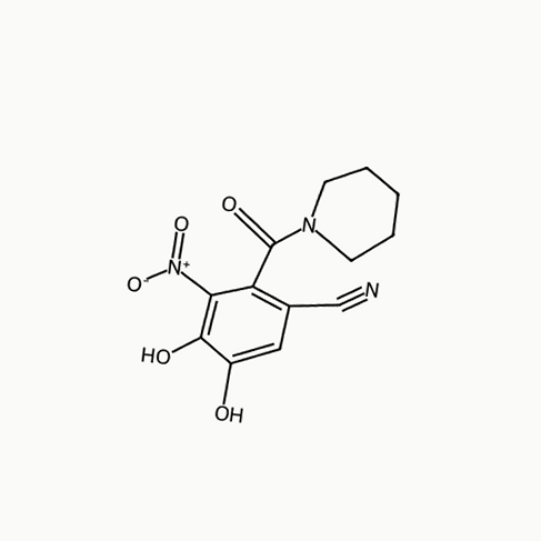 N#Cc1cc(O)c(O)c([N+](=O)[O-])c1C(=O)N1CCCCC1